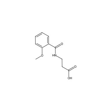 COc1ccccc1C(=O)NCCC(=O)O